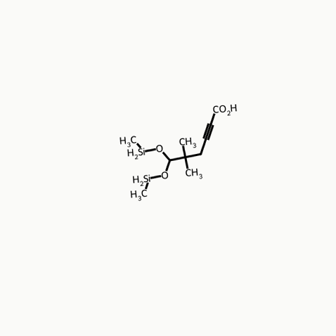 C[SiH2]OC(O[SiH2]C)C(C)(C)CC#CC(=O)O